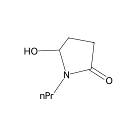 CCCN1C(=O)CCC1O